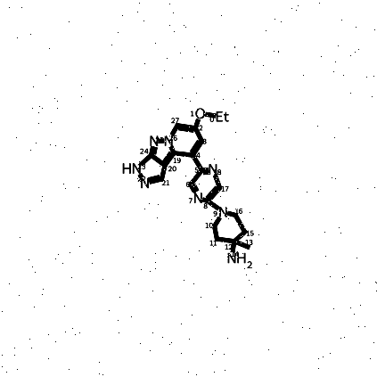 CCOc1cc(-c2cnc(N3CCC(C)(N)CC3)cn2)c2c3cn[nH]c3nn2c1